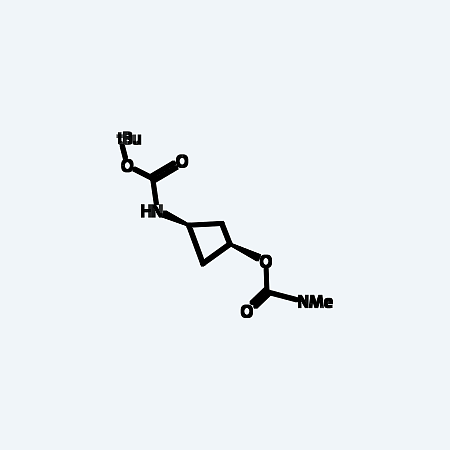 CNC(=O)O[C@H]1C[C@@H](NC(=O)OC(C)(C)C)C1